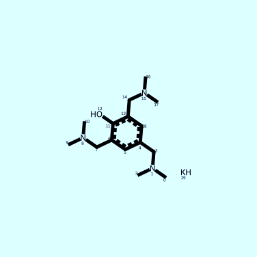 CN(C)Cc1cc(CN(C)C)c(O)c(CN(C)C)c1.[KH]